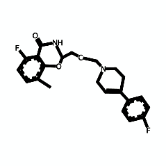 Cc1ccc(F)c2c1OC(CCCN1CC=C(c3ccc(F)cc3)CC1)NC2=O